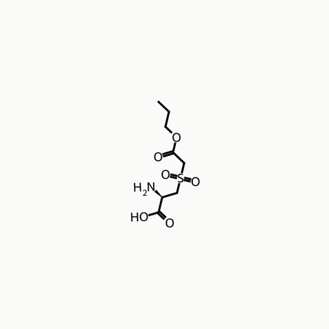 CCCOC(=O)CS(=O)(=O)C[C@H](N)C(=O)O